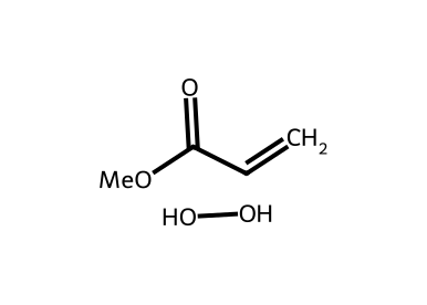 C=CC(=O)OC.OO